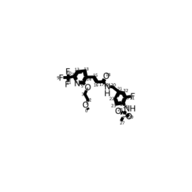 COCCOc1nc(C(F)(F)F)ccc1C=CC(=O)NCc1ccc(NS(C)(=O)=O)c(F)c1